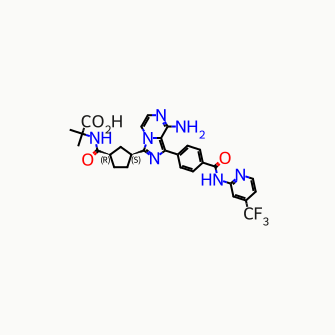 CC(C)(NC(=O)[C@@H]1CC[C@H](c2nc(-c3ccc(C(=O)Nc4cc(C(F)(F)F)ccn4)cc3)c3c(N)nccn23)C1)C(=O)O